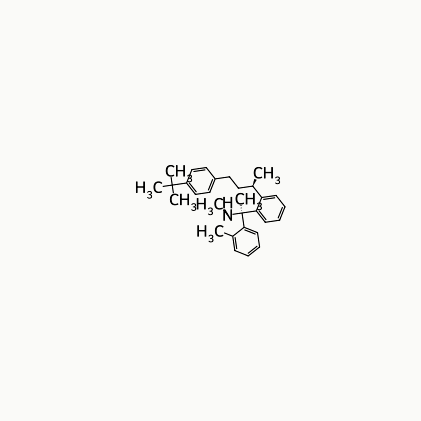 CN[C@](C)(c1ccccc1C)c1ccccc1[C@H](C)CCc1ccc(C(C)(C)C)cc1